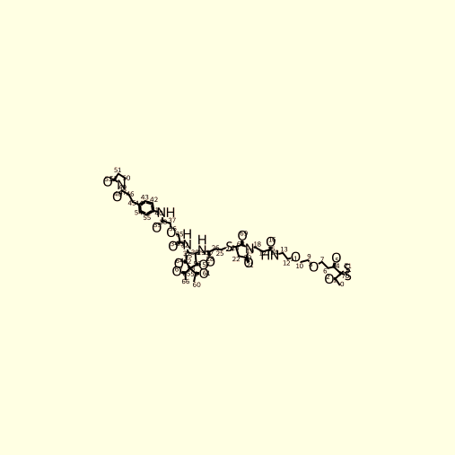 CC(=O)C1(C(=O)CCOCCOCCNC(=O)CCN2C(=O)CC(SCCC(=O)N[C@H](CNC(=O)COCC(=O)Nc3ccc(CCC(=O)N4CCC4=O)cc3)C(=O)C(C(C)=O)(C(C)=O)C(C)=O)C2=O)SS1